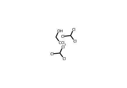 ClC(Cl)Cl.ClC(Cl)Cl.OCC(Cl)(Cl)Cl